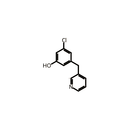 Oc1cc(Cl)cc(Cc2[c]nccc2)c1